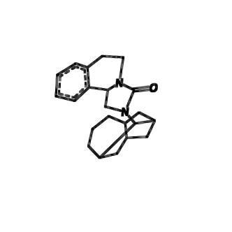 O=C1N2CCc3ccccc3C2CN1C1C2CCCC3CC1CC3C2